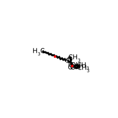 CCCCCCCCCCCCCCCCCCSCC(COC)COP(=O)(O)OC1CC[N+](C)(C)CC1